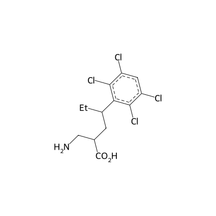 CCC(CC(CN)C(=O)O)c1c(Cl)c(Cl)cc(Cl)c1Cl